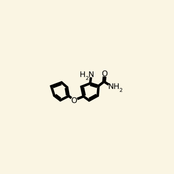 NC(=O)c1ccc(Oc2ccccc2)cc1N